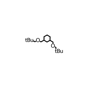 CC(C)(C)COCC1CCCC(COCC(C)(C)C)C1